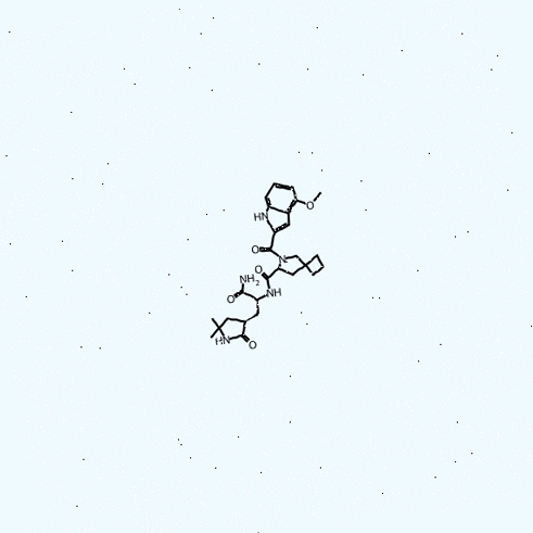 COc1cccc2[nH]c(C(=O)N3CC4(CCC4)CC3C(=O)N[C@@H](C[C@@H]3CC(C)(C)NC3=O)C(N)=O)cc12